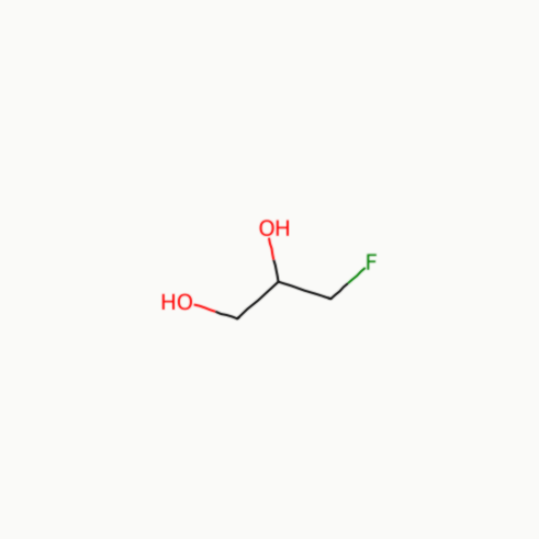 OCC(O)CF